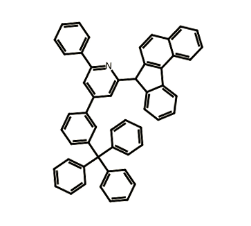 c1ccc(-c2cc(-c3cccc(C(c4ccccc4)(c4ccccc4)c4ccccc4)c3)cc(C3c4ccccc4-c4c3ccc3ccccc43)n2)cc1